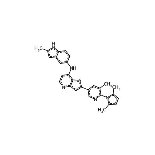 Cc1cc2cc(Nc3ccnc4cc(-c5cnc(-n6c(C)ccc6C)c(C)c5)sc34)ccc2[nH]1